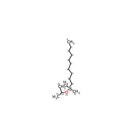 CCCCCCCCCC[Si](C)(C)OC(C)C